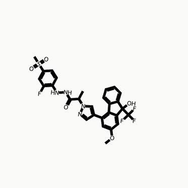 COc1cc(-c2cnn(C(C)C(=O)NNc3ccc(S(C)(=O)=O)cc3F)c2)c2c(c1)C(O)(C(F)(F)F)c1ccccc1-2